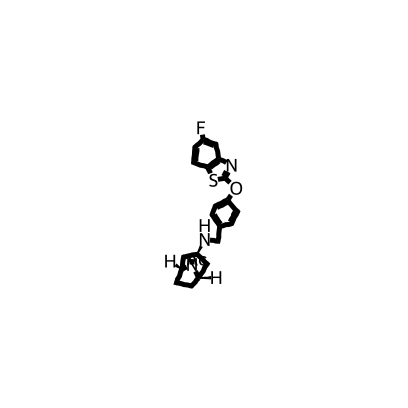 CC(=O)N1[C@@H]2CC[C@H]1C[C@H](NCc1ccc(Oc3nc4cc(F)ccc4s3)cc1)C2